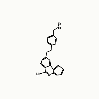 CCNCc1ccc(CCc2cnc3c(N)nc4ccccc4c3c2)cc1